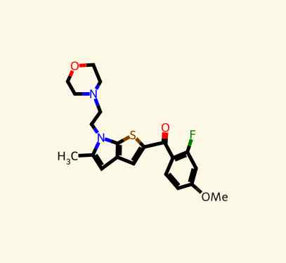 COc1ccc(C(=O)c2cc3cc(C)n(CCN4CCOCC4)c3s2)c(F)c1